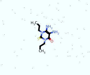 CCCn1c(N)c(N)c(=O)n(CCC)c1=S